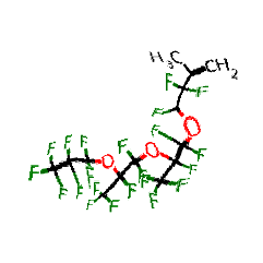 C=C(C)C(F)(F)C(F)OC(F)(F)C(F)(OC(F)(F)C(F)(OC(F)(F)C(F)(F)C(F)(F)F)C(F)(F)F)C(F)(F)F